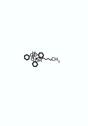 CCCCCCCC(O)[PH](Oc1ccccc1)(Oc1ccccc1)Oc1ccccc1